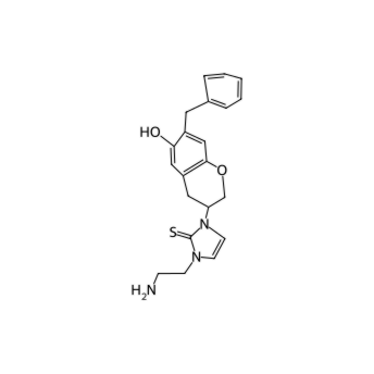 NCCn1ccn(C2COc3cc(Cc4ccccc4)c(O)cc3C2)c1=S